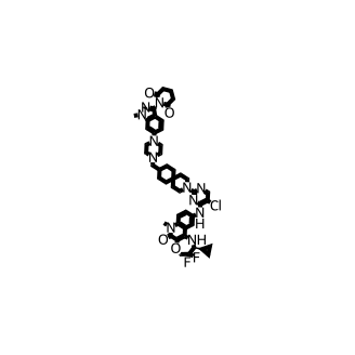 Cn1nc(N2C(=O)CCCC2=O)c2ccc(N3CCN(CC4CCC5(CC4)CCN(c4ncc(Cl)c(Nc6ccc7c(c6)c6c(c(=O)n7C)OCC(F)(F)[C@H](C7CC7)N6)n4)CC5)CC3)cc21